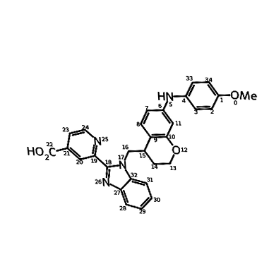 COc1ccc(Nc2ccc3c(c2)OCCC3Cn2c(-c3cc(C(=O)O)ccn3)nc3ccccc32)cc1